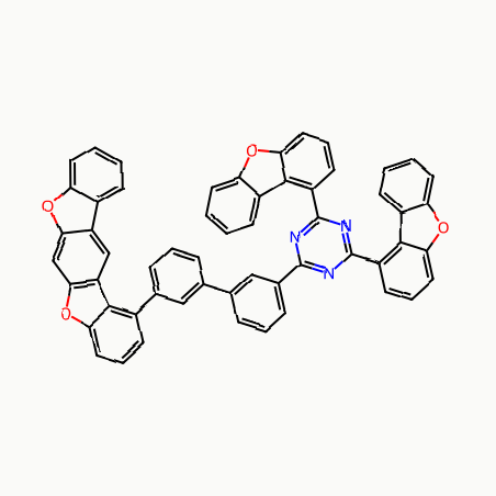 c1cc(-c2cccc(-c3cccc4oc5cc6oc7ccccc7c6cc5c34)c2)cc(-c2nc(-c3cccc4oc5ccccc5c34)nc(-c3cccc4oc5ccccc5c34)n2)c1